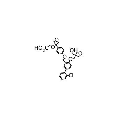 O=C(O)COC1(c2ccc(OCc3cc(-c4ccccc4Cl)ccc3OCC3(CO)COC3)cc2)COC1